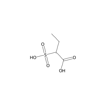 CC[C](C(=O)O)S(=O)(=O)O